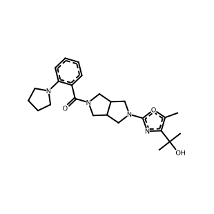 Cc1oc(N2CC3CN(C(=O)c4ccccc4N4CCCC4)CC3C2)nc1C(C)(C)O